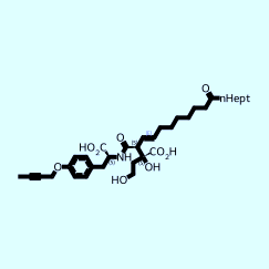 CC#CCOc1ccc(C[C@H](NC(=O)[C@@H](/C=C/CCCCCCC(=O)CCCCCCC)[C@@](O)(CCO)C(=O)O)C(=O)O)cc1